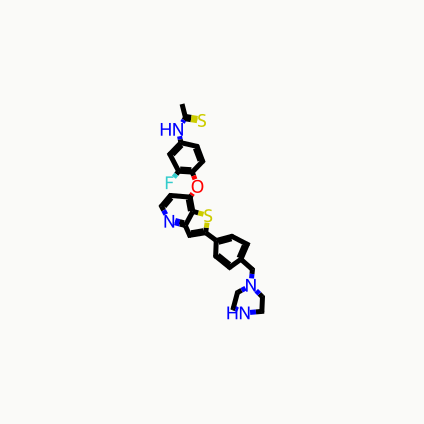 CC(=S)Nc1ccc(Oc2ccnc3cc(-c4ccc(CN5CCNCC5)cc4)sc23)c(F)c1